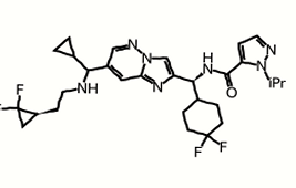 CC(C)n1nccc1C(=O)N[C@H](c1cn2ncc(C(NCC[C@H]3CC3(F)F)C3CC3)cc2n1)C1CCC(F)(F)CC1